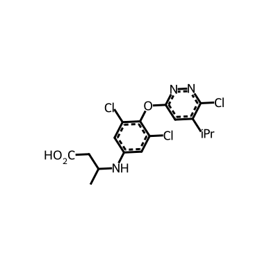 CC(CC(=O)O)Nc1cc(Cl)c(Oc2cc(C(C)C)c(Cl)nn2)c(Cl)c1